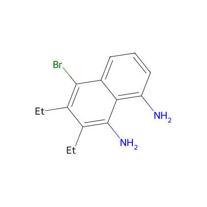 CCc1c(CC)c(N)c2c(N)cccc2c1Br